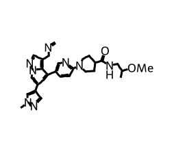 C=NCc1cnn2cc(-c3cnn(C)c3)cc(-c3ccc(N4CCC(C(=O)NCC(C)OC)CC4)nc3)c12